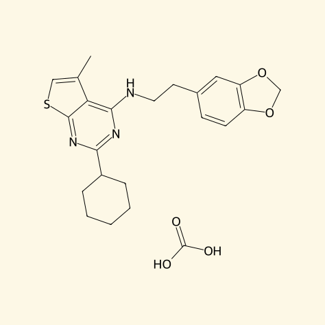 Cc1csc2nc(C3CCCCC3)nc(NCCc3ccc4c(c3)OCO4)c12.O=C(O)O